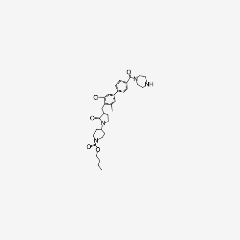 CCCCOC(=O)N1CCC(N2CCC(Cc3c(C)cc(-c4ccc(C(=O)N5CCNCC5)cc4)cc3Cl)C2=O)CC1